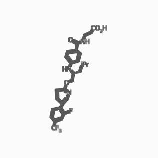 CC(C)C[C@@H](COc1ccc(-c2ccc(C(F)(F)F)cc2F)cn1)Nc1ccc(C(=O)NCCC(=O)O)cc1